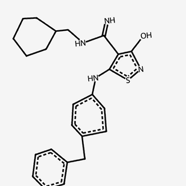 N=C(NCC1CCCCC1)c1c(O)nsc1Nc1ccc(Cc2ccccc2)cc1